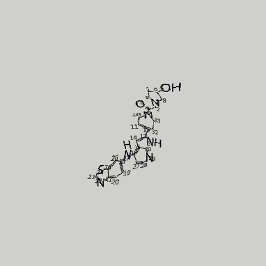 O=C(CN1CCC(O)C1)N1CC=C(c2cc3c(Nc4ccc5ncsc5c4)ccnc3[nH]2)CC1